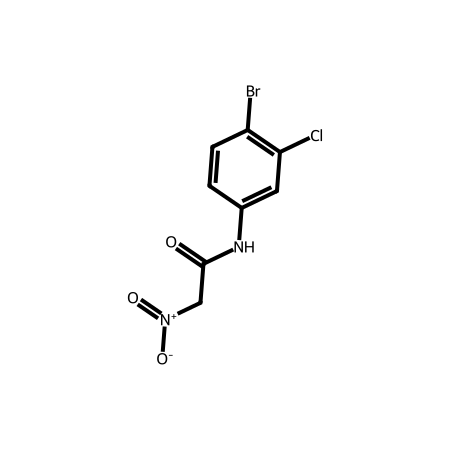 O=C(C[N+](=O)[O-])Nc1ccc(Br)c(Cl)c1